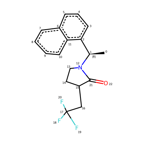 C[C@H](c1cccc2ccccc12)N1CCC(CC(F)(F)F)C1=O